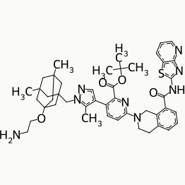 Cc1c(-c2ccc(N3CCc4cccc(C(=O)Nc5nc6ncccc6s5)c4C3)nc2C(=O)OC(C)(C)C)cnn1CC12CC3(C)CC(C)(C1)CC(OCCN)(C3)C2